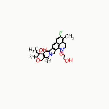 [2H]C1C2=C(C=C3c4cc5cc(F)c(C)c6c5c(c4CN31)N(OCCO)CC6)[C@@](O)(CC)C([2H])OC2